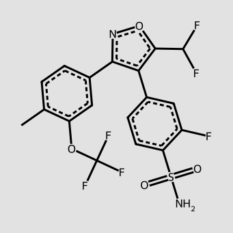 Cc1ccc(-c2noc(C(F)F)c2-c2ccc(S(N)(=O)=O)c(F)c2)cc1OC(F)(F)F